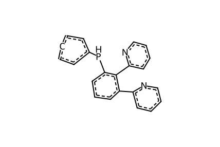 c1ccc(Pc2cccc(-c3ccccn3)c2-c2ccccn2)cc1